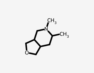 CC1CC2COCC2CN1C